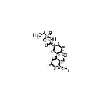 CCS(=O)(=O)NC(=O)c1ccc(Cl)c(-c2cccc(C)c2F)c1